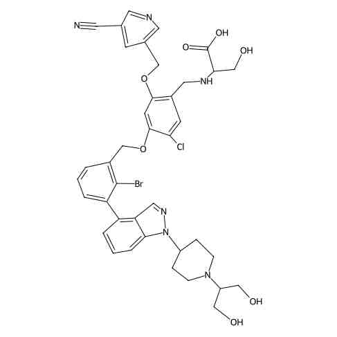 N#Cc1cncc(COc2cc(OCc3cccc(-c4cccc5c4cnn5C4CCN(C(CO)CO)CC4)c3Br)c(Cl)cc2CNC(CO)C(=O)O)c1